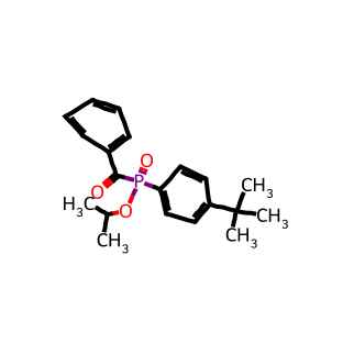 CC(C)OP(=O)(C(=O)c1ccccc1)c1ccc(C(C)(C)C)cc1